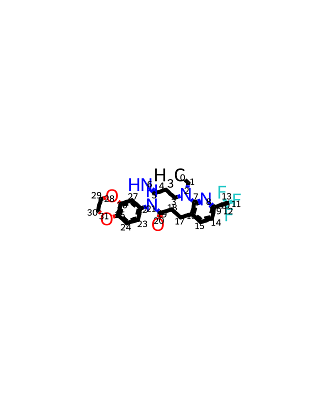 CCN(CCC=N)c1nc(C(F)(F)F)ccc1CCC(=O)Nc1ccc2c(c1)OCCO2